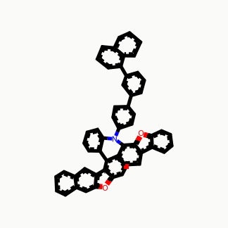 c1cc(-c2ccc(N(c3ccccc3-c3cccc4oc5cc6ccccc6cc5c34)c3cccc4c3oc3ccccc34)cc2)cc(-c2cccc3ccccc23)c1